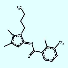 Cc1c/c(=N\C(=O)c2cccc(C(F)(F)F)c2F)n(CCCC(F)(F)F)n1C